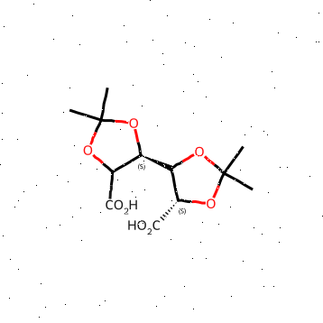 CC1(C)OC(C(=O)O)[C@H](C2OC(C)(C)O[C@@H]2C(=O)O)O1